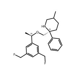 CC1CC[C@@](CO[C@H](C)c2cc(CF)cc(CF)c2)(c2ccccc2)NC1